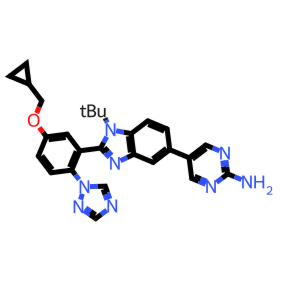 CC(C)(C)n1c(-c2cc(OCC3CC3)ccc2-n2cncn2)nc2cc(-c3cnc(N)nc3)ccc21